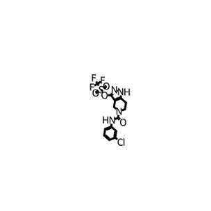 O=C(Nc1cccc(Cl)c1)N1CCc2[nH]nc(OS(=O)(=O)C(F)(F)F)c2C1